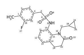 Cc1ccc(CS(=O)(=O)Nc2cccc3c2N(CC2CC2)C(=O)CC3)cc1F